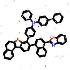 c1ccc(-c2ccc(N(c3ccccc3)c3ccc(-c4c(-c5ccc(-c6nc7ccccc7o6)c6ccccc56)ccc5c4sc4ccc6ccccc6c45)cc3)cc2)cc1